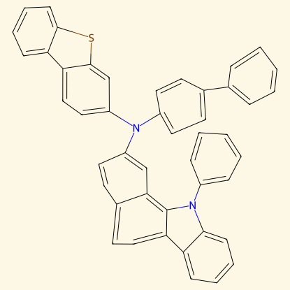 c1ccc(-c2ccc(N(c3ccc4c(c3)sc3ccccc34)c3ccc4ccc5c6ccccc6n(-c6ccccc6)c5c4c3)cc2)cc1